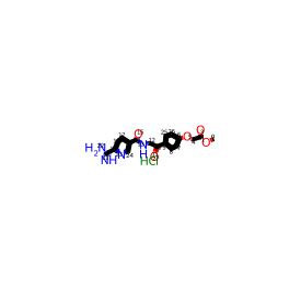 COC(=O)COc1ccc(C(=O)CNC(=O)c2ccc(C(=N)N)nc2)cc1.Cl